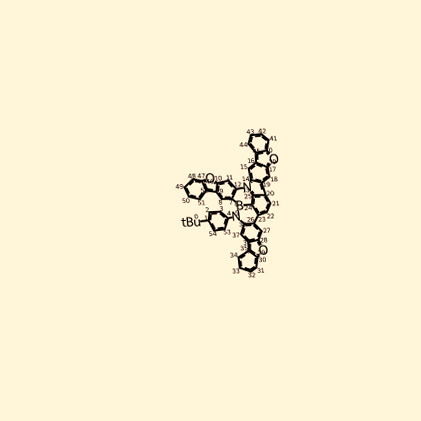 CC(C)(C)c1ccc(N2B3c4cc5c(cc4-n4c6cc7c(cc6c6ccc(c3c64)-c3cc4oc6ccccc6c4cc32)oc2ccccc27)oc2ccccc25)cc1